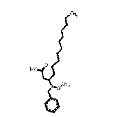 CCCCCCCCCCCC(CC(=O)O)B(Cc1ccccc1)OC